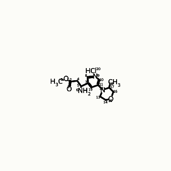 COC(=O)CC(N)c1cncc(N2CCOCC2C)c1.Cl